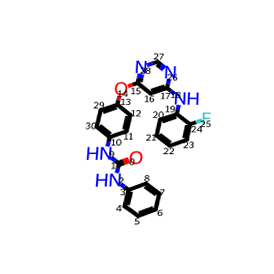 O=C(Nc1ccccc1)Nc1ccc(Oc2cc(Nc3ccccc3F)ncn2)cc1